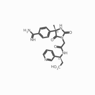 C[C@@]1(c2ccc(C(=N)N)cc2)NC(=O)N(CC(=O)N[C@@H](CC(=O)O)c2cccnc2)C1=O